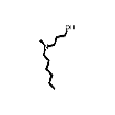 CCCCCCN(C)CCCO